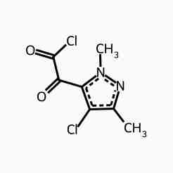 Cc1nn(C)c(C(=O)C(=O)Cl)c1Cl